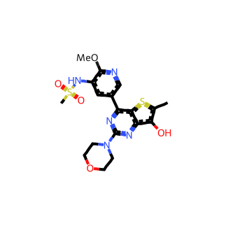 COc1ncc(-c2nc(N3CCOCC3)nc3c(O)c(C)sc23)cc1NS(C)(=O)=O